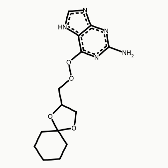 Nc1nc(OOCC2COC3(CCCCC3)O2)c2[nH]cnc2n1